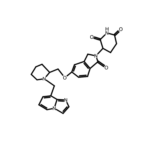 O=C1CCC(N2Cc3cc(OCC4CCCCN4Cc4cccn5ccnc45)ccc3C2=O)C(=O)N1